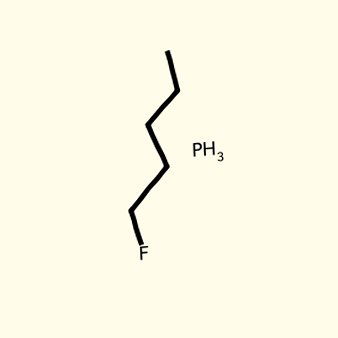 CCCCCF.P